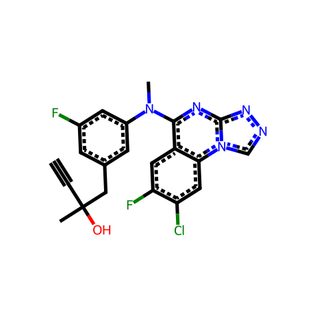 C#CC(C)(O)Cc1cc(F)cc(N(C)c2nc3nncn3c3cc(Cl)c(F)cc23)c1